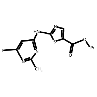 Cc1nc(I)cc(Nc2ncc(C(=O)OC(C)C)s2)n1